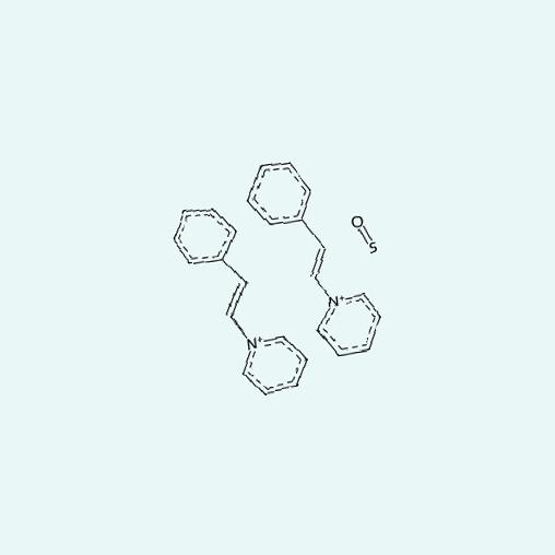 C(=C[n+]1ccccc1)c1ccccc1.C(=C[n+]1ccccc1)c1ccccc1.O=S